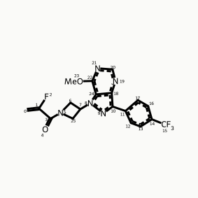 C=C(F)C(=O)N1CC(n2nc(-c3ccc(C(F)(F)F)cc3)c3ncnc(OC)c32)C1